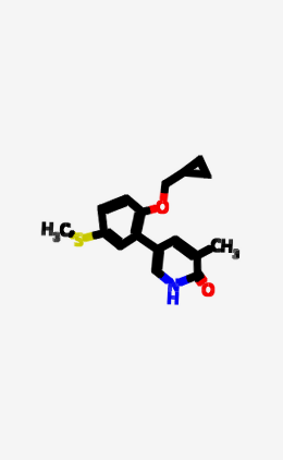 CSc1ccc(OCC2CC2)c(-c2c[nH]c(=O)c(C)c2)c1